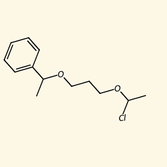 CC(Cl)OCCCOC(C)c1ccccc1